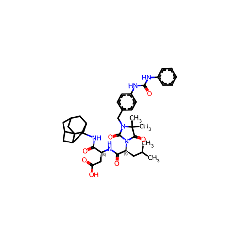 CC(C)C[C@@H](C(=O)N[C@@H](CC(=O)O)C(=O)NC1C2CC3CC4CC1C4(C3)C2)N1C(=O)N(Cc2ccc(NC(=O)Nc3ccccc3)cc2)C(C)(C)C1=O